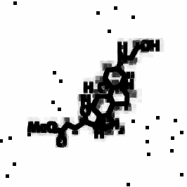 COC(=O)CC[C@H]1O[C@H]2CC3C(CC[C@@H]4C[C@H](NCCO)CC[C@]34C)C3CC[C@H]1[C@]32C